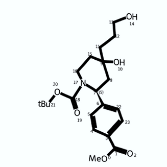 COC(=O)c1ccc([C@@H]2CC(O)(CCCO)CCN2C(=O)OC(C)(C)C)cc1